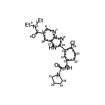 CCN(CC)C(=O)c1cnc2nc(-c3cc(NC(=O)N4CCCC4)ccc3Cl)[nH]c2c1